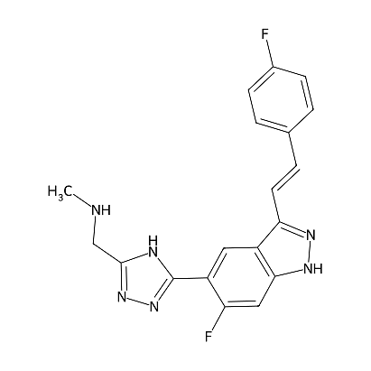 CNCc1nnc(-c2cc3c(C=Cc4ccc(F)cc4)n[nH]c3cc2F)[nH]1